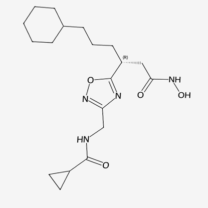 O=C(C[C@@H](CCCC1CCCCC1)c1nc(CNC(=O)C2CC2)no1)NO